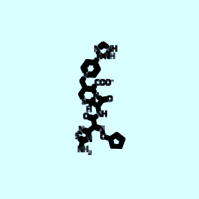 Nc1nc(C(=NOC2C=CCC2)C(=O)NC2C(=O)N3C(C(=O)[O-])=C(C[n+]4ccc(N5N=CNN5)cc4)CS[C@@H]23)ns1